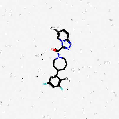 N#Cc1ccc2nnc(C(=O)N3CCCC(c4cc(F)cc(F)c4C(F)(F)F)CC3)n2c1